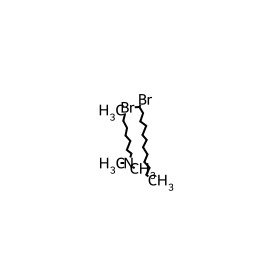 CCCCCCCCCCCC(Br)Br.CCCCCCCCN(C)C